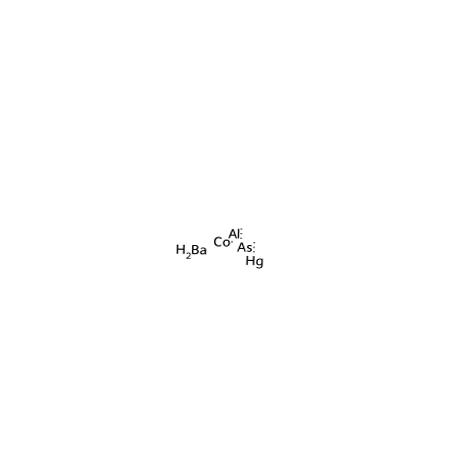 [Al].[As].[BaH2].[Co].[Hg]